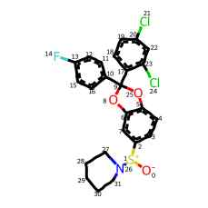 [O-][S+](c1ccc2c(c1)OC(c1ccc(F)cc1)(c1ccc(Cl)cc1Cl)O2)N1CCCCC1